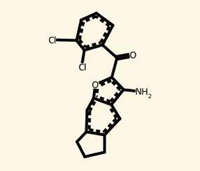 Nc1c(C(=O)c2cccc(Cl)c2Cl)oc2cc3c(cc12)CCC3